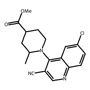 COC(=O)C1CCN(c2c(C#N)cnc3ccc(Cl)cc23)C(C)C1